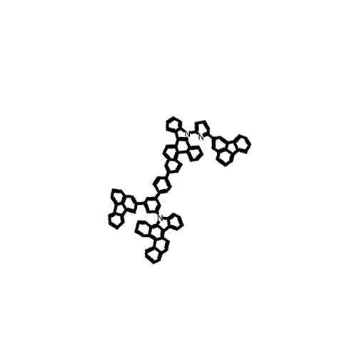 c1cc(-c2cc3c4c(cccc4c2)-c2ccccc2-3)nc(-n2c3ccccc3c3c4ccc5cc(-c6ccc(-c7cc(-c8cc9c%10c(cccc%10c8)-c8ccccc8-9)cc(-n8c9ccccc9c9c%10ccc%11ccccc%11c%10c%10ccccc%10c98)c7)cc6)ccc5c4c4ccccc4c32)c1